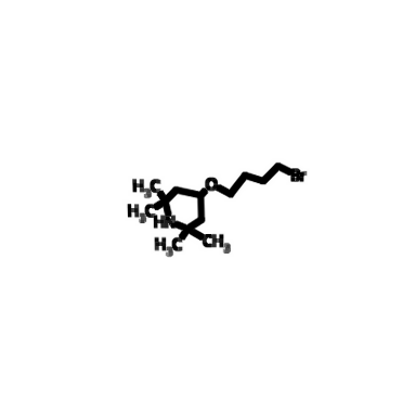 CC1(C)CC(OCCCCBr)CC(C)(C)N1